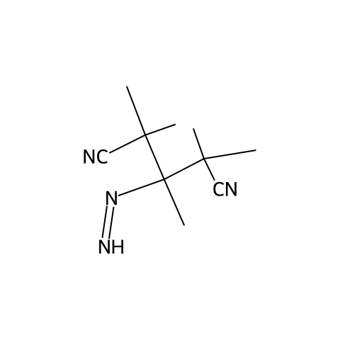 CC(C)(C#N)C(C)(N=N)C(C)(C)C#N